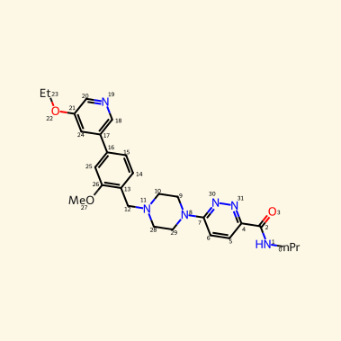 CCCNC(=O)c1ccc(N2CCN(Cc3ccc(-c4cncc(OCC)c4)cc3OC)CC2)nn1